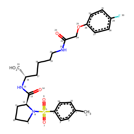 Cc1ccc(S(=O)(=O)N2CCC[C@H]2C(=O)N[C@@H](CCCCNC(=O)COc2ccc(F)cc2)C(=O)O)cc1